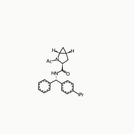 CC(=O)N1[C@@H]2C[C@@H]2C[C@H]1C(=O)N[C@@H](c1ccccc1)c1ccc(C(C)C)cc1